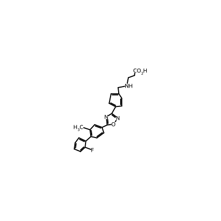 Cc1cc(-c2nc(-c3ccc(CNCCC(=O)O)cc3)no2)ccc1-c1ccccc1F